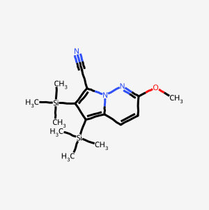 COc1ccc2c([Si](C)(C)C)c([Si](C)(C)C)c(C#N)n2n1